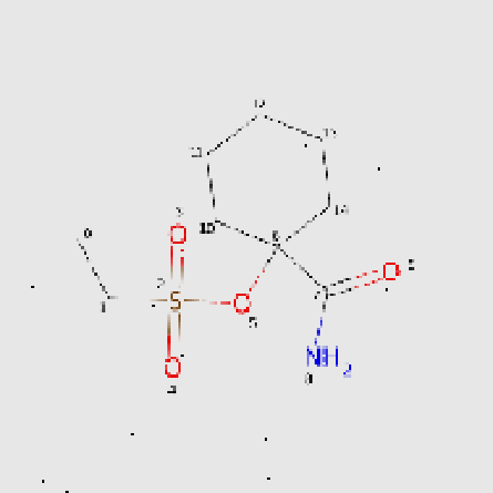 CCS(=O)(=O)OC1(C(N)=O)CCCCC1